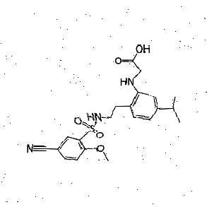 COc1ccc(C#N)cc1S(=O)(=O)NCCc1ccc(C(C)C)cc1NCC(=O)O